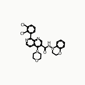 O=C(NN1CCOc2ccccc21)c1cnc2c(-c3cccc(Cl)c3Cl)nccc2c1N1CCOCC1